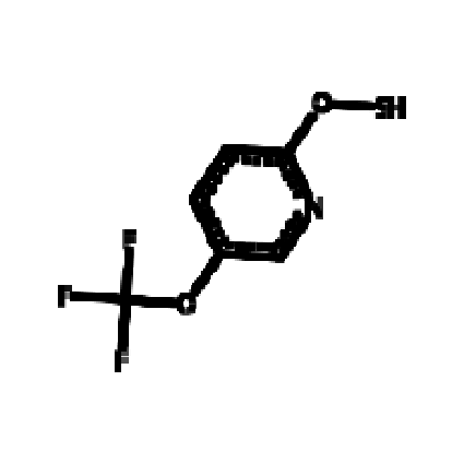 FC(F)(F)Oc1ccc(OS)nc1